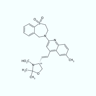 Cc1ccc2nc(N3CCS(=O)(=O)c4ccccc4C3)cc(C=C[C@@H]3COC(C)(C)N3C(=O)O)c2c1